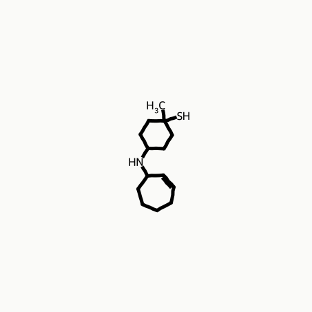 CC1(S)CCC(NC2C=CCCCC2)CC1